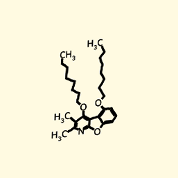 CCCCCCCCOc1cccc2oc3nc(C)c(C)c(OCCCCCCCC)c3c12